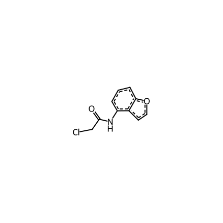 O=C(CCl)Nc1cccc2occc12